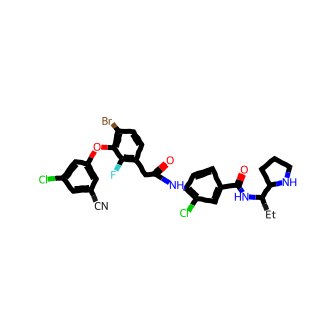 CCC(NC(=O)c1ccc(NC(=O)Cc2ccc(Br)c(Oc3cc(Cl)cc(C#N)c3)c2F)c(Cl)c1)C1CCCN1